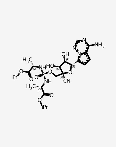 CC(C)OC(=O)[C@H](C)NP(=O)(N[C@@H](C)C(=O)OC(C)C)OC[C@@]1(C#N)O[C@@H](c2ccc3c(N)ncnn23)[C@H](O)[C@@H]1O